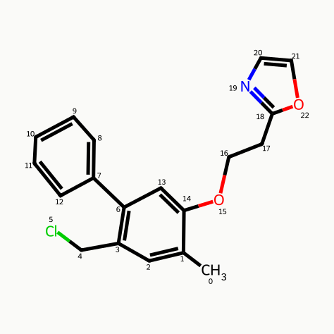 Cc1cc(CCl)c(-c2ccccc2)cc1OCCc1ncco1